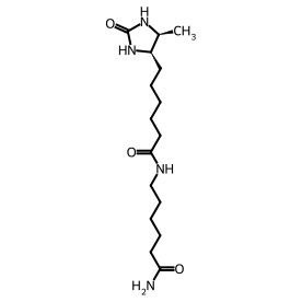 C[C@@H]1NC(=O)N[C@@H]1CCCCCC(=O)NCCCCCC(N)=O